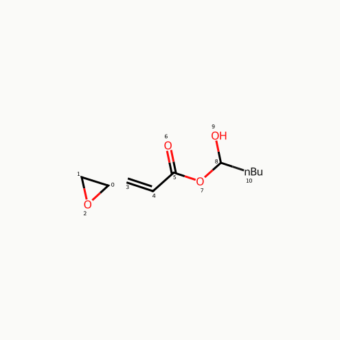 C1CO1.C=CC(=O)OC(O)CCCC